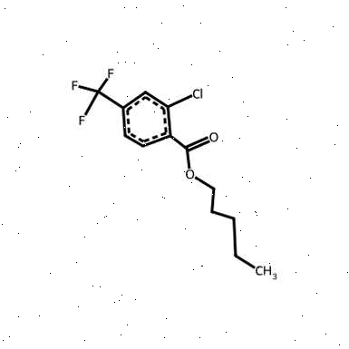 CCCCCOC(=O)c1ccc(C(F)(F)F)cc1Cl